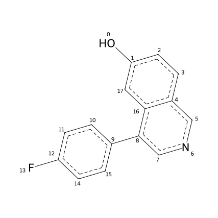 Oc1ccc2cncc(-c3ccc(F)cc3)c2c1